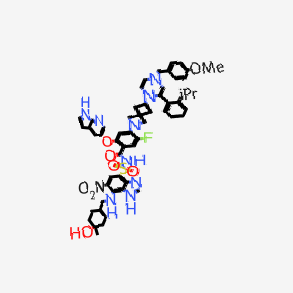 COc1ccc(CN2CCN(C3CC4(C3)CN(c3cc(Oc5cnc6[nH]ccc6c5)c(C(=O)NS(=O)(=O)c5cc([N+](=O)[O-])c(NCC6CCC(C)(O)CC6)c6[nH]cnc56)cc3F)C4)C(c3ccccc3C(C)C)C2)cc1